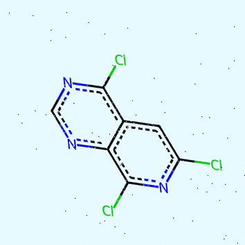 Clc1cc2c(Cl)ncnc2c(Cl)n1